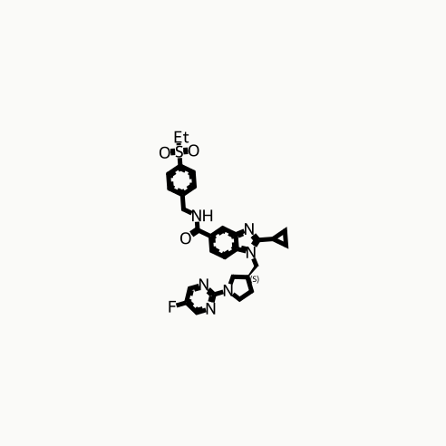 CCS(=O)(=O)c1ccc(CNC(=O)c2ccc3c(c2)nc(C2CC2)n3C[C@H]2CCN(c3ncc(F)cn3)C2)cc1